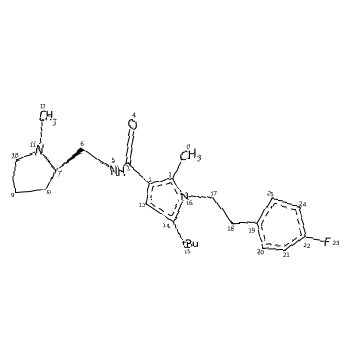 Cc1c(C(=O)NC[C@H]2CCCN2C)cc(C(C)(C)C)n1CCc1ccc(F)cc1